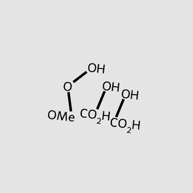 COOO.O=C(O)O.O=C(O)O